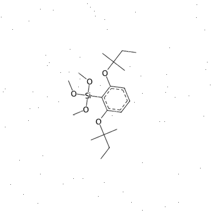 CCC(C)(C)Oc1cccc(OC(C)(C)CC)c1[Si](OC)(OC)OC